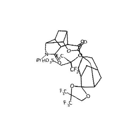 CC(C)N1C(=O)C2C3CC(C(OC(=O)C45CC6CC(C4)C4(OCC(C(F)(F)F)(C(F)(F)F)O4)C(C6)C5)C31)C2C(=O)OC(CS(=O)(=O)O)(C(F)(F)F)C(F)(F)F